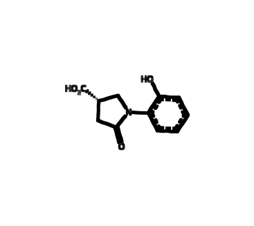 O=C(O)[C@H]1CC(=O)N(c2ccccc2O)C1